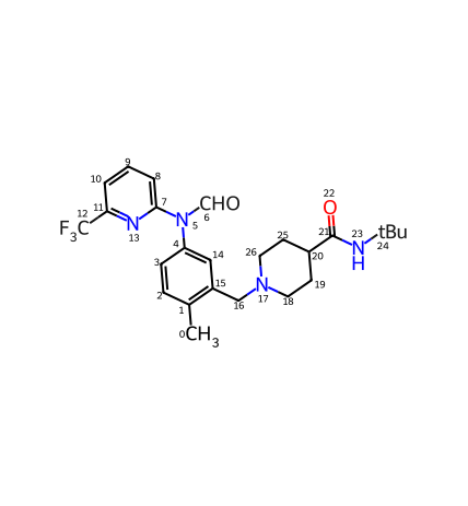 Cc1ccc(N(C=O)c2cccc(C(F)(F)F)n2)cc1CN1CCC(C(=O)NC(C)(C)C)CC1